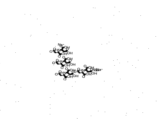 O=C([O-])C[C@@H](NC(CC(=O)O)C(=O)O)C(=O)O.O=C([O-])C[C@@H](NC(CC(=O)O)C(=O)O)C(=O)O.O=C([O-])C[C@@H](NC(CC(=O)O)C(=O)O)C(=O)O.O=C([O-])C[C@@H](NC(CC(=O)O)C(=O)O)C(=O)O.[Na+].[Na+].[Na+].[Na+]